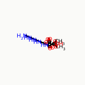 COc1cc(C2c3cc4c(cc3C(NC(=O)CCCCNCCCNCCCNCCCN)C3COC(=O)C23)OCO4)cc(OC)c1O